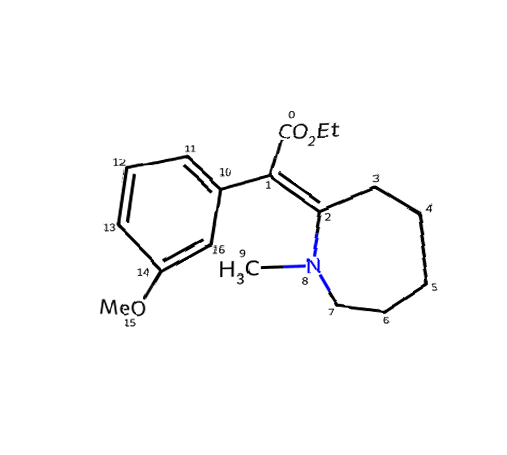 CCOC(=O)C(=C1CCCCCN1C)c1cccc(OC)c1